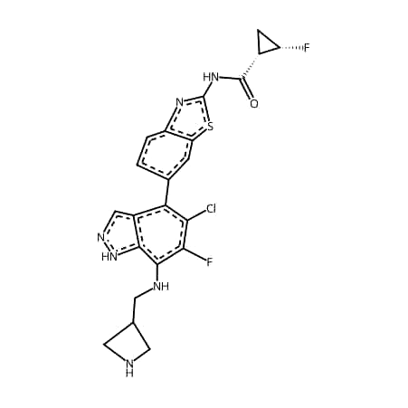 O=C(Nc1nc2ccc(-c3c(Cl)c(F)c(NCC4CNC4)c4[nH]ncc34)cc2s1)[C@@H]1C[C@@H]1F